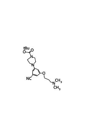 CN(C)CCCOc1cc(C#N)cc(N2CCN(C(=O)OC(C)(C)C)CC2)c1